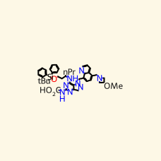 CCCC(CCO[Si](c1ccccc1)(c1ccccc1)C(C)(C)C)Nc1nc(NC(=O)O)nc2cnn(Cc3ccc(CN4CC(OC)C4)c4cccnc34)c12